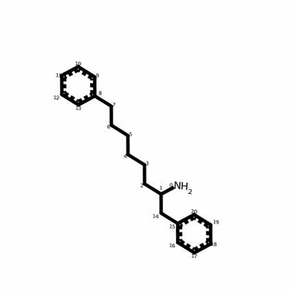 NC(CCCCCCc1ccccc1)Cc1ccccc1